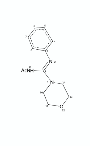 CC(=O)N/C(=N\c1ccccc1)N1CCOCC1